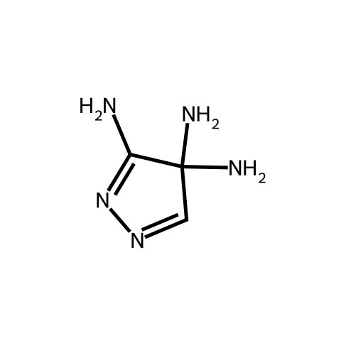 NC1=NN=CC1(N)N